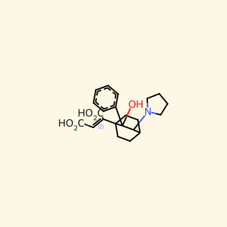 O=C(O)/C=C(\C(=O)O)C12CCC(CC1)C(N1CCCC1)C2(O)c1ccccc1